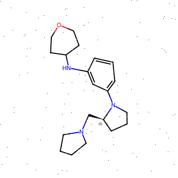 [c]1ccc(N2CCC[C@H]2CN2CCCC2)cc1NC1CCOCC1